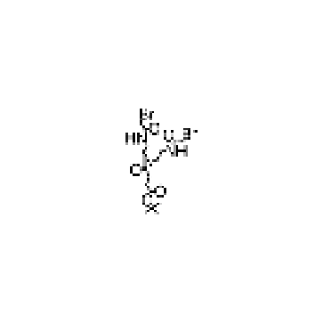 CC(C)(C)OC(=O)CCC(=O)N(CCNC(=O)CBr)CCNC(=O)CBr